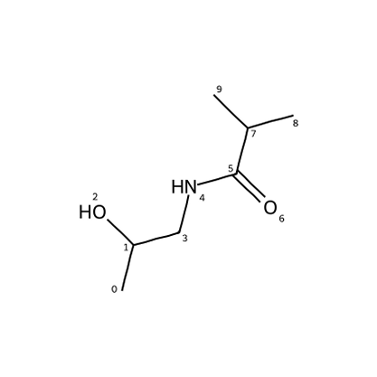 CC(O)CNC(=O)C(C)C